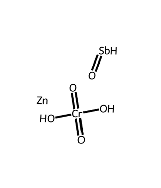 [O]=[Cr](=[O])([OH])[OH].[O]=[SbH].[Zn]